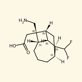 NC[C@@]1(CC(=O)O)[C@@H]2C[C@@H]3CCC[C@H]1[C@H]2[C@H]3C(F)F